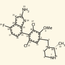 COc1c(CN2CCNC[C@H]2C)cc(Cl)c(-c2ccc(F)c3sc(N)nc23)c1Cl